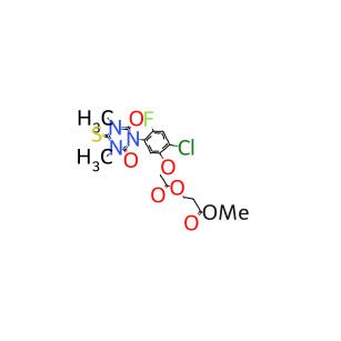 COC(=O)CCOC(=O)COc1cc(-n2c(=O)n(C)c(=S)n(C)c2=O)c(F)cc1Cl